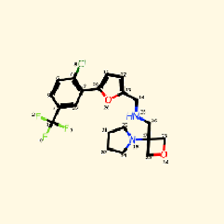 FC(F)(F)c1ccc(Cl)c(-c2ccc(CNCC3(N4CCCC4)COC3)o2)c1